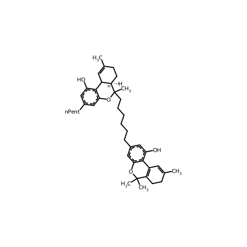 CCCCCc1cc(O)c2c(c1)OC(C)(CCCCCCc1cc(O)c3c(c1)OC(C)(C)C1=C3C=C(C)CC1)[C@@H]1CCC(C)=CC21